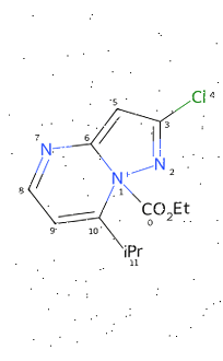 CCOC(=O)[N+]12N=C(Cl)C=C1N=CC=C2C(C)C